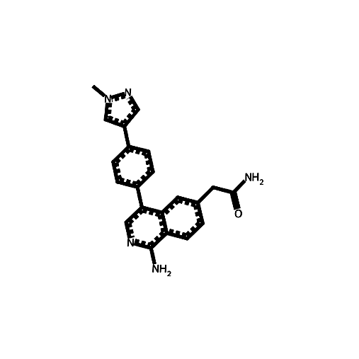 Cn1cc(-c2ccc(-c3cnc(N)c4ccc(CC(N)=O)cc34)cc2)cn1